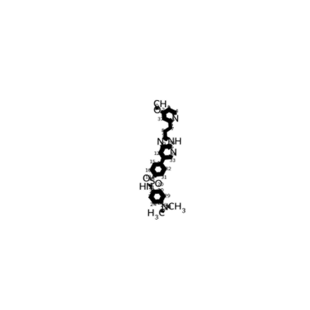 COc1ccnc(CCc2nc3cc(-c4ccc(S(=O)(=O)Nc5ccc(N(C)C)cc5)cc4)cnc3[nH]2)c1